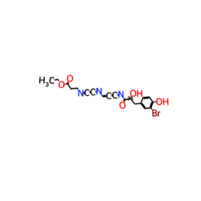 CCOC(=O)CCN=C=C=NC=C=C=NC(=O)[C@H](O)Cc1ccc(O)c(Br)c1